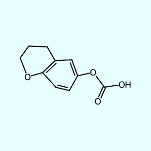 O=C(O)Oc1ccc2c(c1)CCCO2